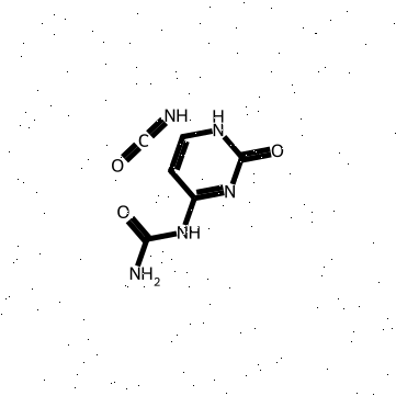 N=C=O.NC(=O)Nc1cc[nH]c(=O)n1